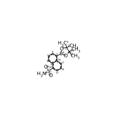 CC1(C)OB(c2cccc3c(S(N)(=O)=O)cccc23)OC1(C)C